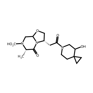 C[C@H]1C(=O)N2C(CN1C(=O)O)OC[C@@H]2CC(=O)N1CCC2(CC2)C(O)C1